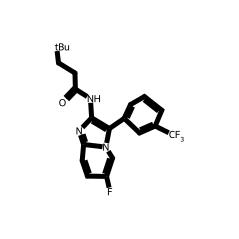 CC(C)(C)CCC(=O)Nc1nc2ccc(F)cn2c1-c1cccc(C(F)(F)F)c1